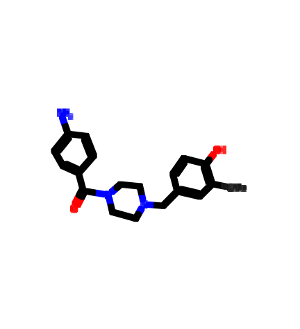 COc1cc(CN2CCN(C(=O)c3ccc(N)cc3)CC2)ccc1O